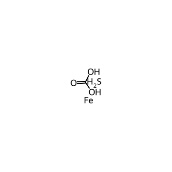 O=C(O)O.S.[Fe]